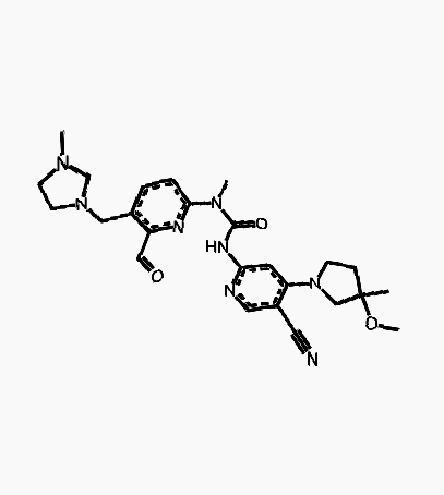 COC1(C)CCN(c2cc(NC(=O)N(C)c3ccc(CN4CCN(C)C4)c(C=O)n3)ncc2C#N)C1